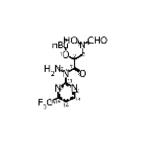 CCCCOC(CN(O)C=O)C(=O)N(N)c1nccc(C(F)(F)F)n1